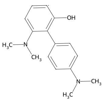 CN(C)c1ccc(-c2c(O)[c]ccc2N(C)C)cc1